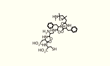 CCC(C)(CC(C)(C)CC(=O)NC(Cc1ccccc1)C(=O)NC(Cc1ccccc1)C(=O)NCC(N)C(=O)NC(CC(=O)O)C(=O)NC(CS)C(=O)O)NI